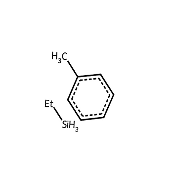 CC[SiH3].Cc1ccccc1